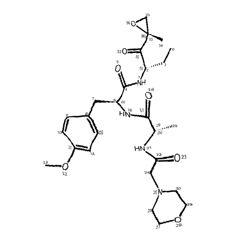 CC[C@H](NC(=O)[C@H](Cc1ccc(OC)cc1)NC(=O)[C@H](C)NC(=O)CN1CCOCC1)C(=O)[C@@]1(C)CO1